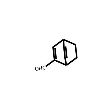 O=[C]C1=CC2C=CC1CC2